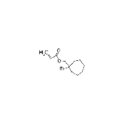 C=CC(=O)OCC1(CC)CCCCCC1